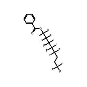 O=C(OC(F)(F)C(F)(F)C(F)(F)C(F)(F)C(F)(F)CCC(F)(F)F)c1ccccc1